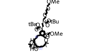 COCCOCCOCCN(CCN(C(=O)OC(C)(C)C)c1cc2c(c(OCOC)c1)C(=O)O[C@@H](C)[C@H](C)/C=C\[C@@H](O)[C@H]1OC(C)(C)O[C@H]1C/C=C/2)C(=O)OC(C)(C)C